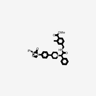 COC(=O)c1ccc(CNC(=O)C(c2ccccc2)N2CCC(c3ccc(-n4cnn(C(C)C)c4=O)cc3)CC2)cc1C